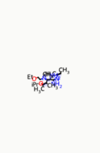 C/C=C(C)/N=C(N)\C(N)=C(/C(C)=C(/C)OC(C)C)N(C)CCOCC